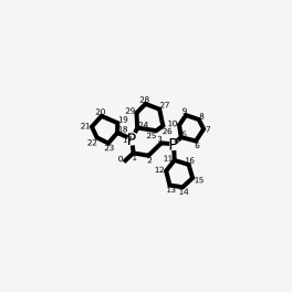 CC(CCP(C1CCCCC1)C1CCCCC1)P(C1CCCCC1)C1CCCCC1